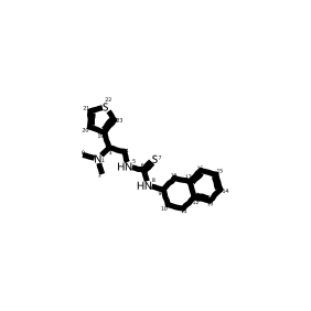 CN(C)C(CNC(=S)NC1CCc2ccccc2C1)c1ccsc1